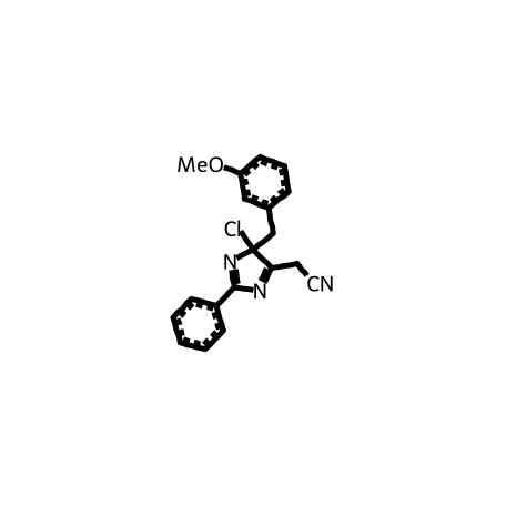 COc1cccc(CC2(Cl)N=C(c3ccccc3)N=C2CC#N)c1